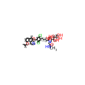 CNC(=O)CN(CC(O)C(O)C(O)C(O)CO)C(=O)CCCCc1cc(Cl)c(COC2(c3cnccc3-c3ccccc3OC3CC3)CC2)cc1Cl